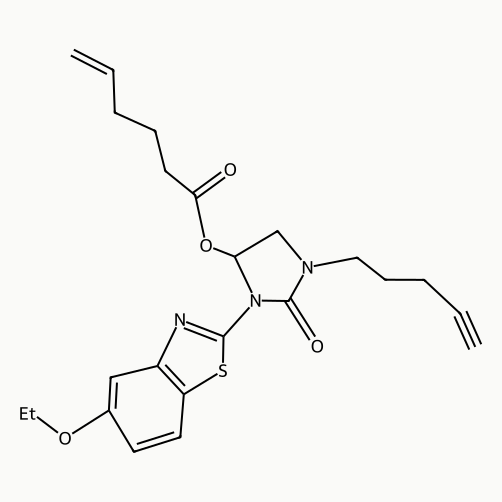 C#CCCCN1CC(OC(=O)CCCC=C)N(c2nc3cc(OCC)ccc3s2)C1=O